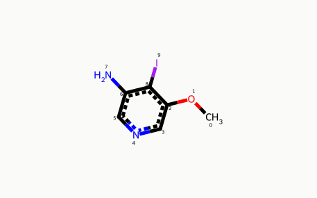 COc1cncc(N)c1I